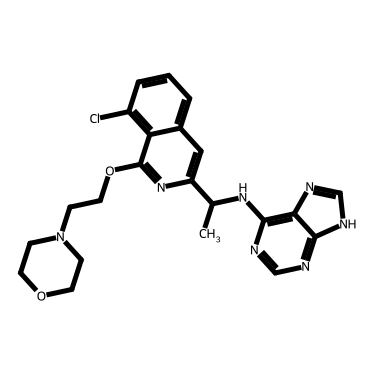 CC(Nc1ncnc2[nH]cnc12)c1cc2cccc(Cl)c2c(OCCN2CCOCC2)n1